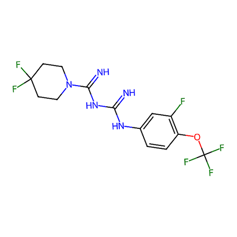 N=C(NC(=N)N1CCC(F)(F)CC1)Nc1ccc(OC(F)(F)F)c(F)c1